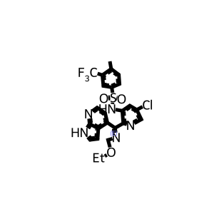 CCOC/N=C(/c1ncc(Cl)cc1NS(=O)(=O)c1ccc(C)c(C(F)(F)F)c1)c1ccnc2[nH]ccc12